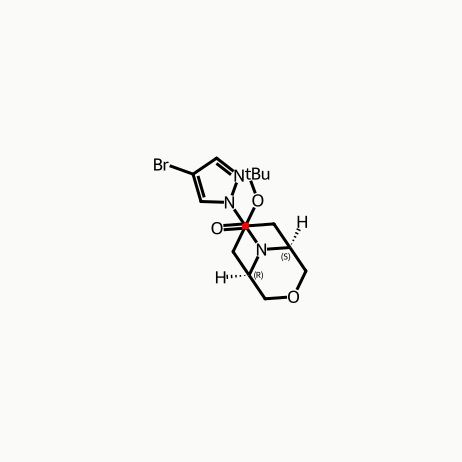 CC(C)(C)OC(=O)N1[C@@H]2COC[C@H]1CC(n1cc(Br)cn1)C2